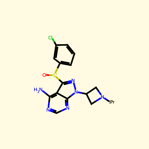 CC(C)N1CC(n2nc([S+]([O-])c3cccc(Cl)c3)c3c(N)ncnc32)C1